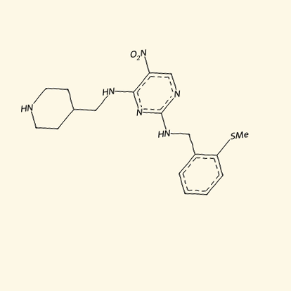 CSc1ccccc1CNc1ncc([N+](=O)[O-])c(NCC2CCNCC2)n1